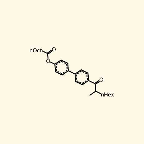 CCCCCCCCC(=O)Oc1ccc(-c2ccc(C(=O)C(C)CCCCCC)cc2)cc1